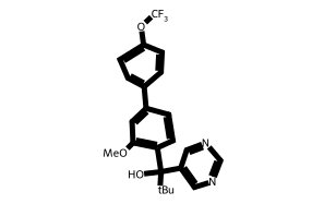 COc1cc(-c2ccc(OC(F)(F)F)cc2)ccc1C(O)(c1cncnc1)C(C)(C)C